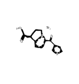 N.O=C(c1ccsc1)c1ccc2n1CCC2C(=O)O